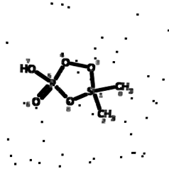 C[Si]1(C)OOP(=O)(O)O1